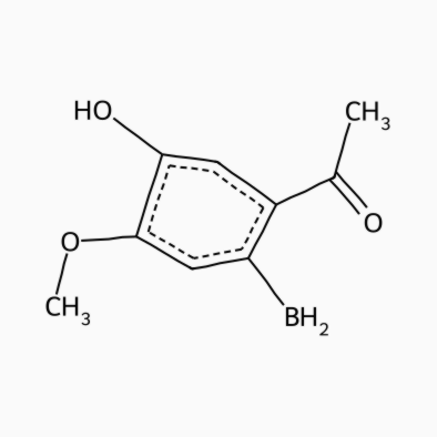 Bc1cc(OC)c(O)cc1C(C)=O